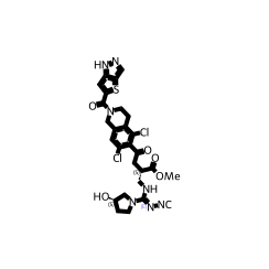 [C-]#[N+]/N=C(\NC[C@H](CC(=O)c1c(Cl)cc2c(c1Cl)CCN(C(=O)c1cc3[nH]ncc3s1)C2)C(=O)OC)N1CC[C@H](O)C1